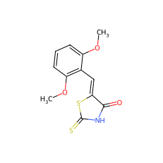 COc1cccc(OC)c1/C=C1\SC(=S)NC1=O